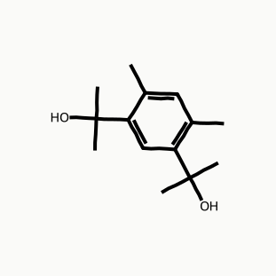 Cc1cc(C)c(C(C)(C)O)cc1C(C)(C)O